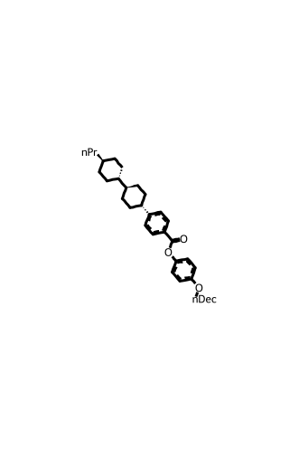 CCCCCCCCCCOc1ccc(OC(=O)c2ccc([C@H]3CC[C@H]([C@H]4CC[C@H](CCC)CC4)CC3)cc2)cc1